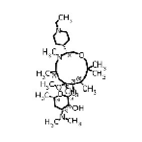 CCN1CCC([C@@H]2COCC(C)(C)C[C@@H](C)[C@@H](O[C@@H]3O[C@H](C)C[C@H](N(C)C)[C@H]3O)[C@](C)(OC)C[C@@H](C)CN2C)CC1